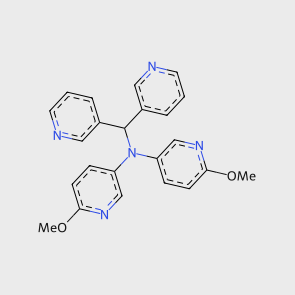 COc1ccc(N(c2ccc(OC)nc2)C(c2cccnc2)c2cccnc2)cn1